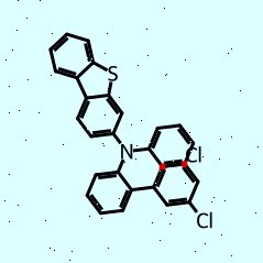 Clc1cc(Cl)cc(-c2ccccc2N(c2ccccc2)c2ccc3c(c2)sc2ccccc23)c1